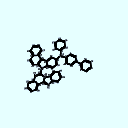 c1ccc(-c2ccc(N(c3ccccc3)c3ccc4c(c3)c3c5ccccc5ccc3n4-c3nc4ccccc4c4nc5ccccc5n34)cc2)cc1